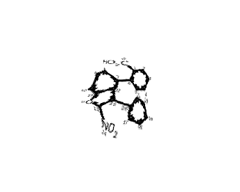 O=C(O)c1ccccc1-c1cccc2oc([N+](=O)[O-])c(-c3ccccc3)c12